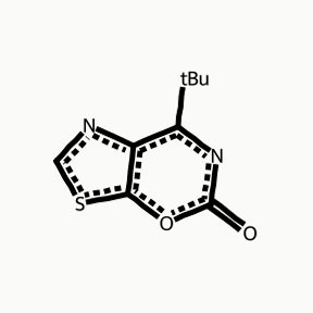 CC(C)(C)c1nc(=O)oc2scnc12